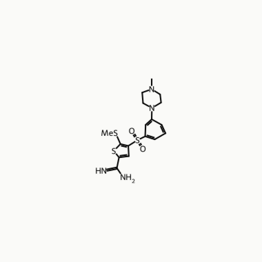 CSc1sc(C(=N)N)cc1S(=O)(=O)c1cccc(N2CCN(C)CC2)c1